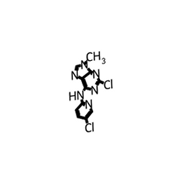 Cn1cnc2c(Nc3ccc(Cl)cn3)nc(Cl)nc21